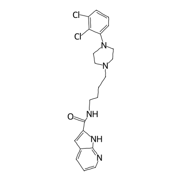 O=C(NCCCCN1CCN(c2cccc(Cl)c2Cl)CC1)c1cc2cccnc2[nH]1